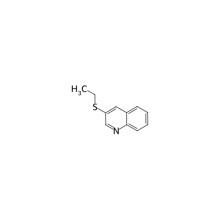 CCSc1cnc2ccccc2c1